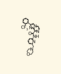 O=C(Nc1cccc(CN2CCOCC2)n1)c1nccn2cc(-c3ccccc3C(F)(F)F)nc12